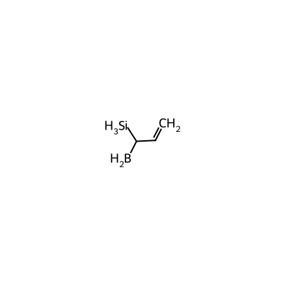 BC([SiH3])C=C